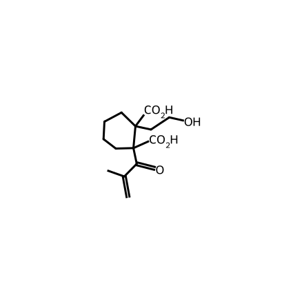 C=C(C)C(=O)C1(C(=O)O)CCCCC1(CCO)C(=O)O